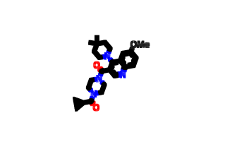 COc1ccc2ncc(C(=O)N3CCN(C(=O)C4CC4)CC3)c(N3CCC(C)(C)CC3)c2c1